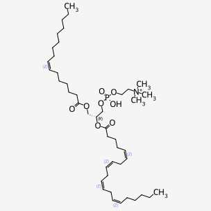 CCCCC/C=C\C/C=C\C/C=C\C/C=C\CCCC(=O)O[C@H](COC(=O)CCCCC/C=C\CCCCCCCC)COP(=O)(O)OCC[N+](C)(C)C